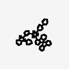 c1ccc(-c2ccc(-c3nc(-c4cccc(-c5nc6ccccc6n5-c5ccccc5)c4)nc(-c4cccc5c4-c4ccccc4C54c5ccccc5-c5ccccc54)n3)cc2)cc1